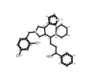 OC(CCC(C1CN(Cc2ccc(Cl)cc2Cl)CC1c1ccsc1)N1CCCCC1)c1ccccc1